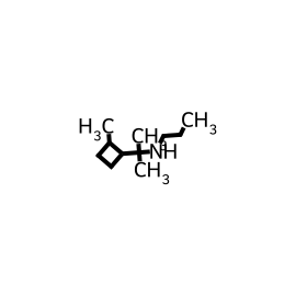 CCCNC(C)(C)C1CCC1C